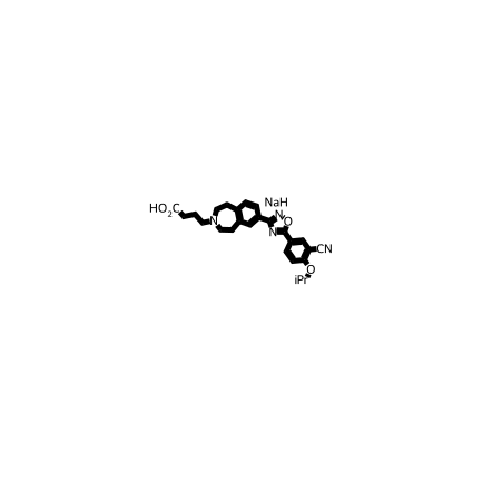 CC(C)Oc1ccc(-c2nc(-c3ccc4c(c3)CCN(CCCC(=O)O)CC4)no2)cc1C#N.[NaH]